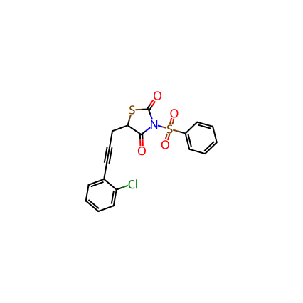 O=C1SC(CC#Cc2ccccc2Cl)C(=O)N1S(=O)(=O)c1ccccc1